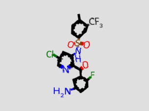 Cc1ccc(S(=O)(=O)Nc2cc(Cl)cnc2C(=O)c2cc(N)ccc2F)cc1C(F)(F)F